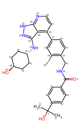 CC(C)(O)c1ccc(C(=O)NCc2ccc(-c3ccnc4[nH]nc(N[C@H]5CC[C@H](O)CC5)c34)cc2F)cc1